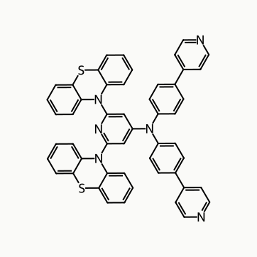 c1ccc2c(c1)Sc1ccccc1N2c1cc(N(c2ccc(-c3ccncc3)cc2)c2ccc(-c3ccncc3)cc2)cc(N2c3ccccc3Sc3ccccc32)n1